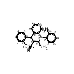 Cc1ccccc1C(/C(C#N)=C(/N)Sc1ccccc1N)c1ccncc1